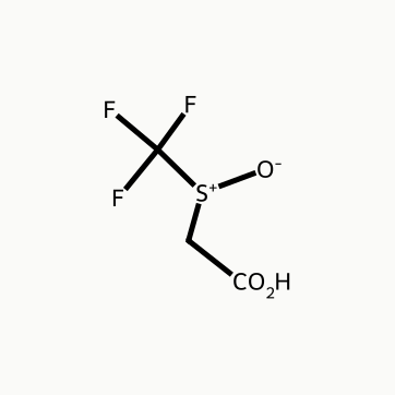 O=C(O)C[S+]([O-])C(F)(F)F